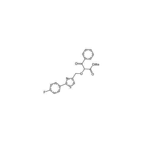 COC(=O)C(OCc1csc(-c2ccc(F)cc2)n1)C(=O)c1ccccc1